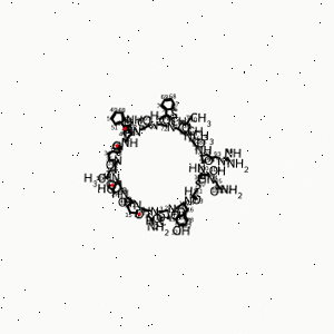 C=C[C@H]1C(=O)N[C@@H](CC(N)=O)C(=O)N2CCC[C@H]2C(=O)N[C@@H](CO)C(=O)N[C@@H](CC(C)C)C(=O)N2CCC[C@H]2C(=O)N[C@@H](Cc2c[nH]c3ccccc23)C(=O)N[C@@H](C)C(=O)N[C@@H](Cc2csc3ccccc23)C(=O)N(C)[C@@H](CCCC)C(=O)N(C)[C@@H](C)C(=O)N[C@@H](CCCNC(=N)N)C(=O)NC(C(=O)NCC(N)=O)CSCC(=O)NC(Cc2ccc(O)cc2)C(=O)N1C